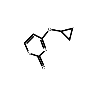 O=C1[N]C=CC(OC2CC2)=N1